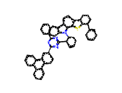 c1ccc(-c2nc(-c3ccc4c5ccccc5c5ccccc5c4c3)nc(-c3ccccc3-n3c4ccccc4c4ccc5c6cccc(-c7ccccc7)c6sc5c43)n2)cc1